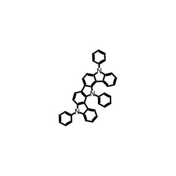 c1ccc(-n2c3ccccc3c3c2ccc2c4ccc5c(c6ccccc6n5-c5ccccc5)c4n(-c4ccccc4)c23)cc1